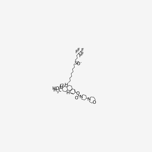 C[C@]12CC[C@@H]3c4ccc(OC(=O)N5CCC(N6CCCOCC6)CC5)cc4C[C@@H](CCCCCCCCC[S+]([O-])CCCC(F)(F)C(F)(F)F)[C@H]3[C@@H]1CC[C@@H]2O